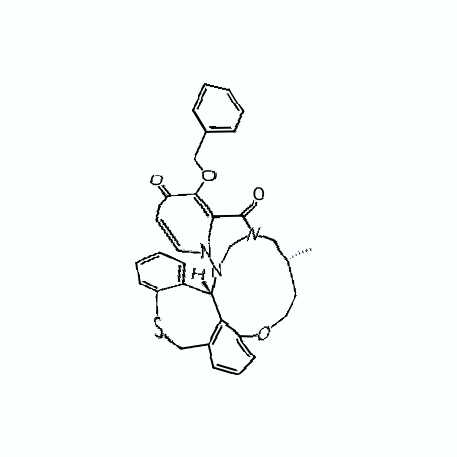 C[C@@H]1CCOc2cccc3c2[C@H](c2ccccc2SC3)N2CN(C1)C(=O)c1c(OCc3ccccc3)c(=O)ccn12